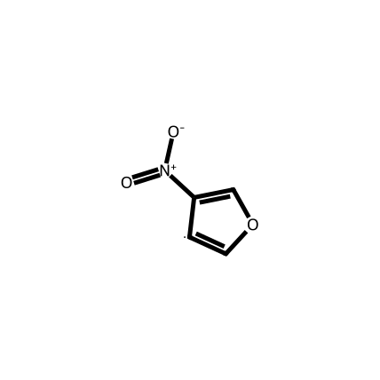 O=[N+]([O-])c1[c]coc1